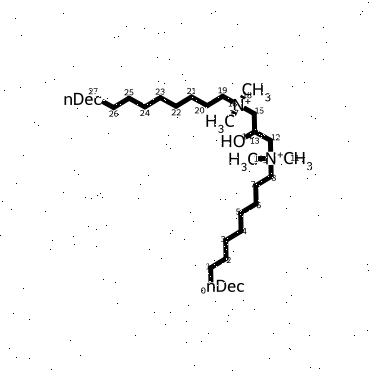 CCCCCCCCCCCCCCCCCC[N+](C)(C)CC(O)C[N+](C)(C)CCCCCCCCCCCCCCCCCC